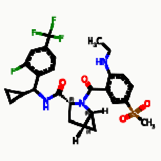 CCNc1ccc(S(C)(=O)=O)cc1C(=O)N1[C@@H](C(=O)NC(c2ccc(C(F)(F)F)cc2F)C2CC2)C[C@H]2C[C@H]21